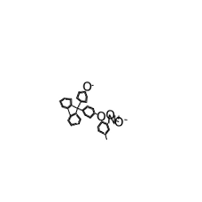 COc1ccc(C2(c3ccc(Oc4ccc(C)cc4[N+](=O)[O-])cc3)c3ccccc3-c3ccccc32)cc1